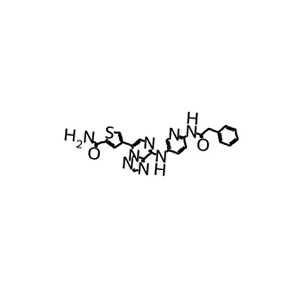 NC(=O)c1cc(-c2cnc(Nc3ccc(NC(=O)Cc4ccccc4)nc3)c3ncnn23)cs1